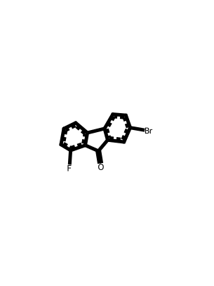 O=C1c2cc(Br)ccc2-c2cccc(F)c21